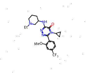 CCN1CCCC(Nc2nnc(-c3ccc(C(F)(F)F)cc3OC)n(C3CC3)c2=O)C1